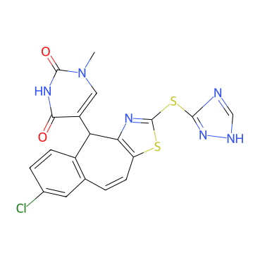 Cn1cc(C2c3ccc(Cl)cc3C=Cc3sc(Sc4nc[nH]n4)nc32)c(=O)[nH]c1=O